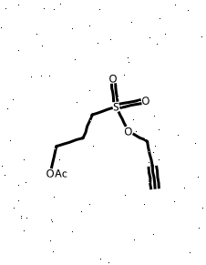 C#CCOS(=O)(=O)CCCOC(C)=O